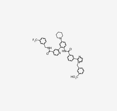 O=C(O)c1cccc(Cn2ccnc2-c2cccc(C(=O)Nc3ccc(N4CCCCC4)cc3-c3cc(C(=O)NCc4cccc(C(F)(F)F)c4)ccn3)c2)c1